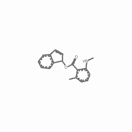 CNc1cccc(C)c1C(=O)OC1C=Cc2ccccc21